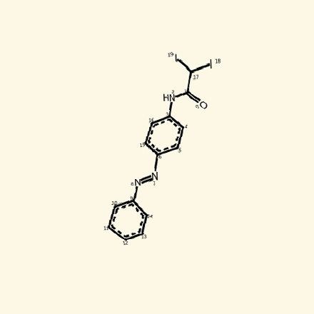 O=C(Nc1ccc(N=Nc2ccccc2)cc1)C(I)I